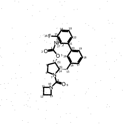 NC(=O)O[C@H]1CCN(C(=O)N2CCC2)[C@H]1Cc1cccc(-c2cccc(F)c2)c1